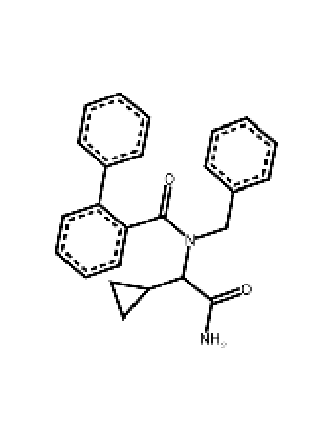 NC(=O)C(C1CC1)N(Cc1ccccc1)C(=O)c1ccccc1-c1ccccc1